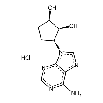 Cl.Nc1ncnc2c1ncn2[C@H]1CC[C@@H](O)[C@H]1O